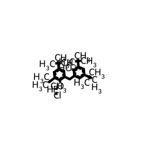 CC(C)(C)c1cc(Cc2cc(C(C)(C)C)cc(C(C)(C)C)c2OPCl)c(O)c(C(C)(C)C)c1